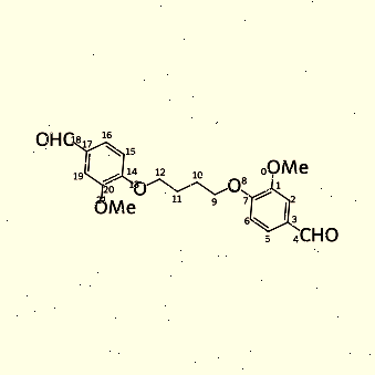 COc1cc(C=O)ccc1OCCCCOc1ccc(C=O)cc1OC